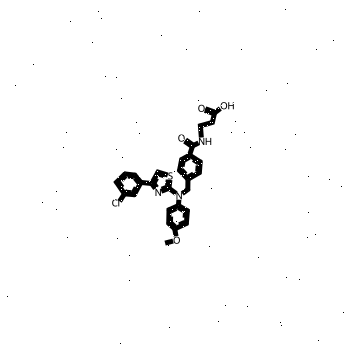 COc1ccc(N(Cc2ccc(C(=O)NCCC(=O)O)cc2)c2nc(-c3cccc(Cl)c3)cs2)cc1